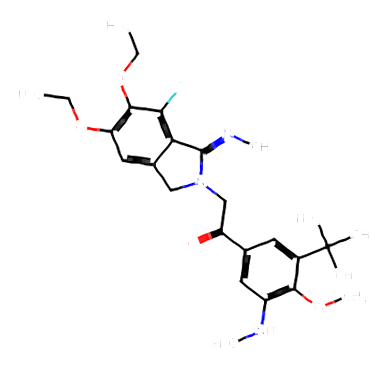 CCOc1cc2c(c(F)c1OCC)/C(=N/C)N(CC(=O)c1cc(NC)c(OC)c(C(C)(C)C)c1)C2